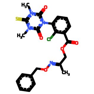 CC(COC(=O)c1cccc(-n2c(=O)n(C)c(=S)n(C)c2=O)c1Cl)=NOCc1ccccc1